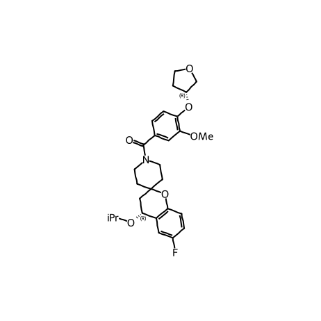 COc1cc(C(=O)N2CCC3(CC2)C[C@@H](OC(C)C)c2cc(F)ccc2O3)ccc1O[C@@H]1CCOC1